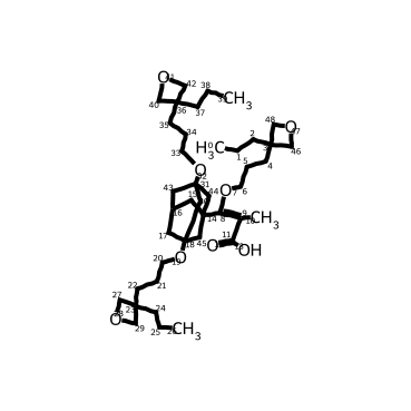 CCCC1(CCCOC(=C(C)C(=O)O)C23CC4CC(OCCCC5(CCC)COC5)(CC(OCCCC5(CCC)COC5)(C4)C2)C3)COC1